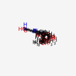 CC[C@H]1OC(=O)[C@H](C)[C@@H](O[C@H]2C[C@@](C)(OC)[C@@H](O)[C@H](C)O2)[C@H](C)[C@@H](O[C@@H]2O[C@H](C)C[C@H](N(C)Cc3ccc(-c4cn(CCCCCCCCC(=O)NO)nn4)cc3)[C@H]2O)[C@](C)(OC)C[C@@H](C)C(=O)[C@H](C)[C@@H](O)[C@]1(C)O